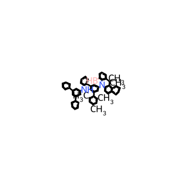 Cc1cc(C)c(-c2cc(-c3ccccc3Nc3cc(-c4ccccc4)cc(-c4ccccc4)c3)c3c(c2)N2c4ccc5ccccc5c4C(C)(C)c4cccc(c42)B3)c(C)c1